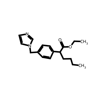 CCCCC(C(=O)OCC)c1ccc(Cn2ccnc2)cc1